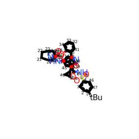 CC(C)(C)c1ccc(S(=O)(=O)NC(=O)c2cccc(NC(=O)N3C4CCC3CC(OCc3c(-c5ccccc5OC(F)(F)F)noc3C3CC3)C4)c2)cc1